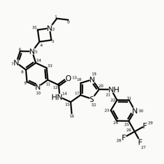 CCN1CC(n2cnc3cnc(C(=O)NC(C)c4cnc(Nc5ccc(C(F)(F)F)nc5)s4)cc32)C1